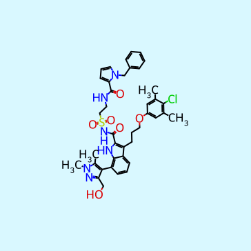 Cc1cc(OCCCc2c(C(=O)NS(=O)(=O)CCNC(=O)c3cccn3Cc3ccccc3)[nH]c3c(-c4c(CO)nn(C)c4C)cccc23)cc(C)c1Cl